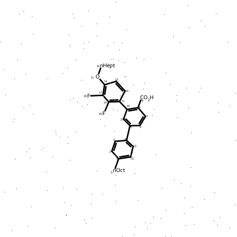 CCCCCCCCc1ccc(-c2ccc(C(=O)O)c(-c3ccc(OCCCCCCC)c(F)c3F)c2)cc1